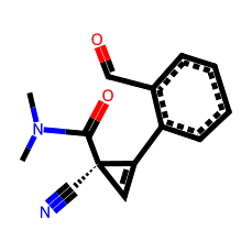 CN(C)C(=O)[C@]1(C#N)C=C1c1ccccc1C=O